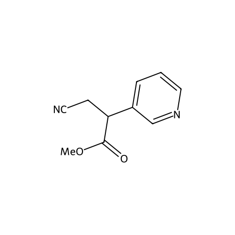 COC(=O)C(CC#N)c1cccnc1